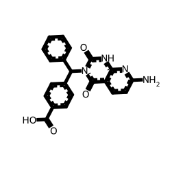 Nc1ccc2c(=O)n(C(c3ccccc3)c3ccc(C(=O)O)cc3)c(=O)[nH]c2n1